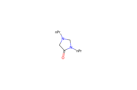 CCCN1CC(=O)N(CCC)C1